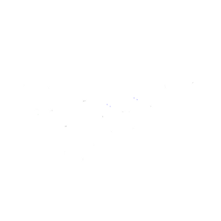 C=CCSNC(=O)NS(=O)(=O)c1ccccc1O/C(Cl)=C/Cl